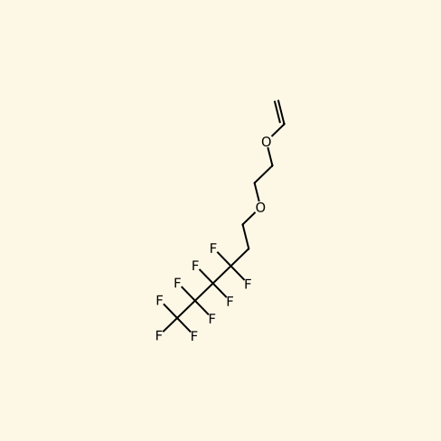 C=COCCOCCC(F)(F)C(F)(F)C(F)(F)C(F)(F)F